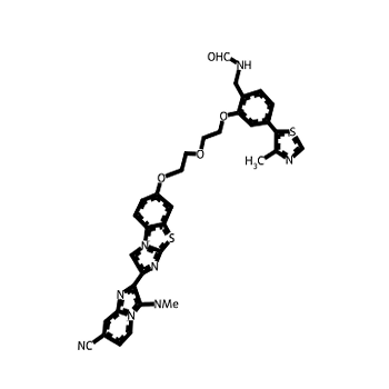 CNc1c(-c2cn3c(n2)sc2cc(OCCOCCOc4cc(-c5scnc5C)ccc4CNC=O)ccc23)nc2cc(C#N)ccn12